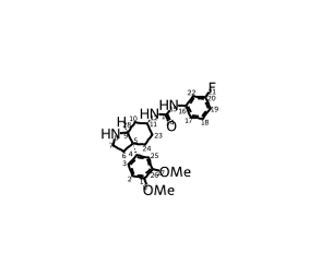 COc1ccc([C@]23CCN[C@H]2C[C@H](NC(=O)Nc2cccc(F)c2)CC3)cc1OC